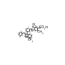 Cc1cc(OCc2cccc(-c3c(Cc4ccccc4)cnc4c(C(F)(F)F)cccc34)c2)c(C)cc1CC(=O)O